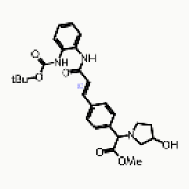 COC(=O)C(c1ccc(/C=C/C(=O)Nc2ccccc2NC(=O)OC(C)(C)C)cc1)N1CCC(O)C1